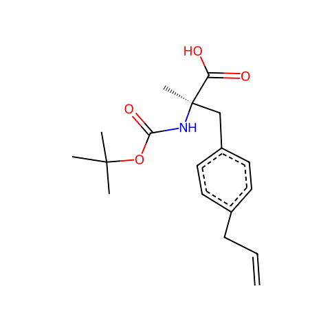 C=CCc1ccc(C[C@@](C)(NC(=O)OC(C)(C)C)C(=O)O)cc1